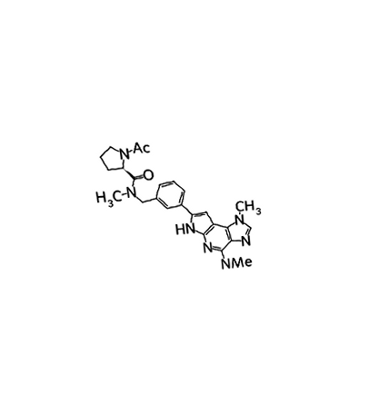 CNc1nc2[nH]c(-c3cccc(CN(C)C(=O)[C@H]4CCCN4C(C)=O)c3)cc2c2c1ncn2C